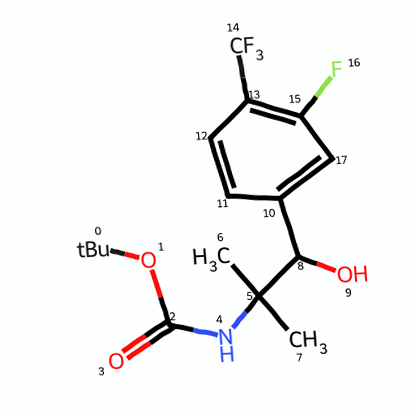 CC(C)(C)OC(=O)NC(C)(C)C(O)c1ccc(C(F)(F)F)c(F)c1